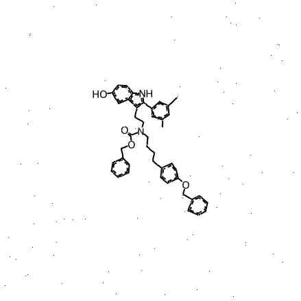 Cc1cc(C)cc(-c2[nH]c3ccc(O)cc3c2CCN(CCCCc2ccc(OCc3ccccc3)cc2)C(=O)OCc2ccccc2)c1